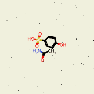 CC(N)=O.O=S(=O)(O)c1ccc(O)cc1